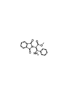 COC(=O)C(=C(N)c1ccccc1)N1C(=O)c2ccccc2C1=O